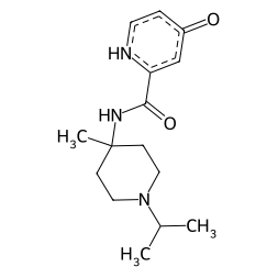 CC(C)N1CCC(C)(NC(=O)c2cc(=O)cc[nH]2)CC1